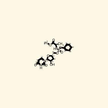 CC(C)OC(=O)[C@@H](C)NP(=O)(OC[C@@H]1C[C@@H](O)[C@H](n2ccc(=O)[nH]c2=O)O1)Oc1ccccc1